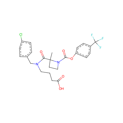 CC1(C(=O)N(CCCC(=O)O)Cc2ccc(Cl)cc2)CCN1C(=O)Oc1ccc(C(F)(F)F)cc1